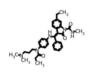 CCC(=O)N(CCCN(C)C)c1ccc(NC(=C2C(=O)N(C(=O)NC)c3cc(CC)ccc32)c2ccccc2)cc1